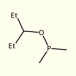 CCC(CC)OP(C)C